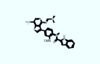 COc1cc(-c2csc3c(N)cnc(N=CN(C)C)c23)ccc1N(C)C(=O)c1cc2ccccc2[nH]1